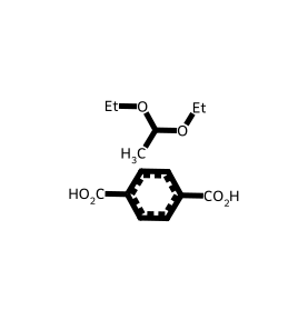 CCOC(C)OCC.O=C(O)c1ccc(C(=O)O)cc1